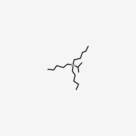 CCCC[CH2][Sn]([CH2]CCCC)([CH2]CCCC)[CH](C)C